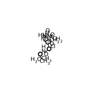 C=CC(=O)NC1COCC1Nc1ncc2cc(-c3cc(C(=O)Nc4cccc(C(C)(C)C)c4)ccc3Cl)c(=O)n(C)c2n1